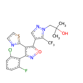 CC(C)(O)Cn1ncc(-c2onc(-c3c(F)cccc3Cl)c2-c2nccs2)c1C(F)(F)F